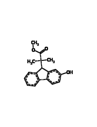 COC(=O)C(C)(C)C1c2ccccc2-c2ccc(O)cc21